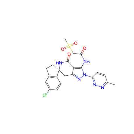 Cc1ccc(-n2nc3c(c2NC(=O)CS(C)(=O)=O)C(=O)N[C@@]2(CCc4cc(Cl)ccc42)C3)nn1